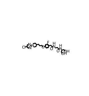 O=C(Cc1ccc(OCCCC2CCN(c3ncc(Cl)cn3)CC2)cc1F)NCCC(=O)NC(CO)CO